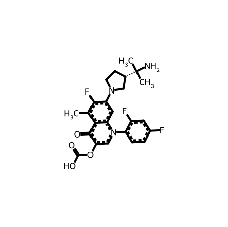 Cc1c(F)c(N2CC[C@H](C(C)(C)N)C2)cc2c1c(=O)c(OC(=O)O)cn2-c1ccc(F)cc1F